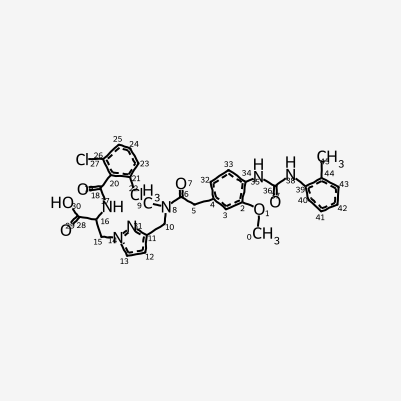 COc1cc(CC(=O)N(C)Cc2ccn(CC(NC(=O)c3c(Cl)cccc3Cl)C(=O)O)n2)ccc1NC(=O)Nc1ccccc1C